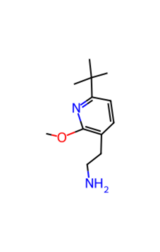 COc1nc(C(C)(C)C)ccc1CCN